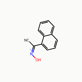 N#C/C(=N/O)c1cccc2ccccc12